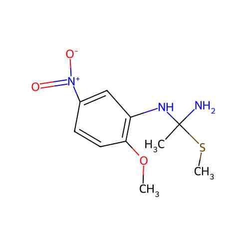 COc1ccc([N+](=O)[O-])cc1NC(C)(N)SC